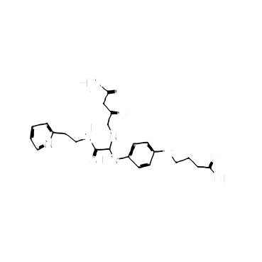 NC(=O)CC(=O)CNC(Nc1ccc(OCCCC(=O)O)cc1)C(=O)NCCc1ccccn1